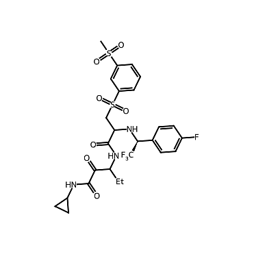 CCC(NC(=O)C(CS(=O)(=O)c1cccc(S(C)(=O)=O)c1)N[C@@H](c1ccc(F)cc1)C(F)(F)F)C(=O)C(=O)NC1CC1